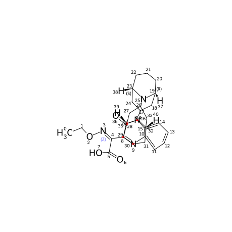 CCO/N=C(\C(=O)O)c1nc2ccccc2n(C2C[C@H]3CCC[C@@H](C2)N3C2C[C@H]3CCC[C@@H](C2)C3)c1=O